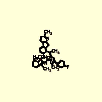 C=C/C(=C\C=C(/C)c1c(C(C)C(C)(C=CC)C2CC3=CC=C2/C(=N/C=C\C)C(C)CC3)ccc2c1Cc1nc(C)ccc1-2)c1ccc(F)cc1